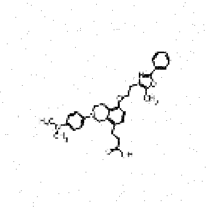 Cc1oc(-c2ccccc2)nc1CCOc1ccc(CCC(=O)O)c2c1CCN(c1ccc(N(C)C)cc1)C2